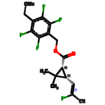 COCc1c(F)c(F)c(COC(=O)[C@@H]2[C@H](/C=C(\F)C#N)C2(C)C)c(F)c1F